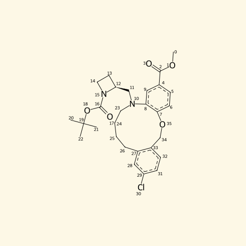 COC(=O)c1ccc2c(c1)N(C[C@@H]1CCN1C(=O)OC(C)(C)C)CCCCc1cc(Cl)ccc1CO2